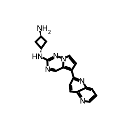 N[C@H]1C[C@H](Nc2ncc3c(-c4ccc5ncccc5n4)ccn3n2)C1